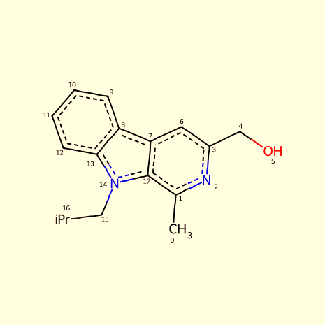 Cc1nc(CO)cc2c3ccccc3n(CC(C)C)c12